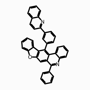 c1ccc(-c2nc3ccccc3c3c(-c4cccc(-c5ccc6ccccc6n5)c4)c4c(cc23)oc2ccccc24)cc1